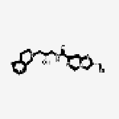 O=C(NC[C@H](O)CN1CCc2ccccc2C1)C1=CC2=N[C@H](CO)CN2C=N1